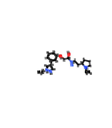 CN1CCCC1CCNC(=O)COc1c[c]cc(-c2cnn(C)c2)c1